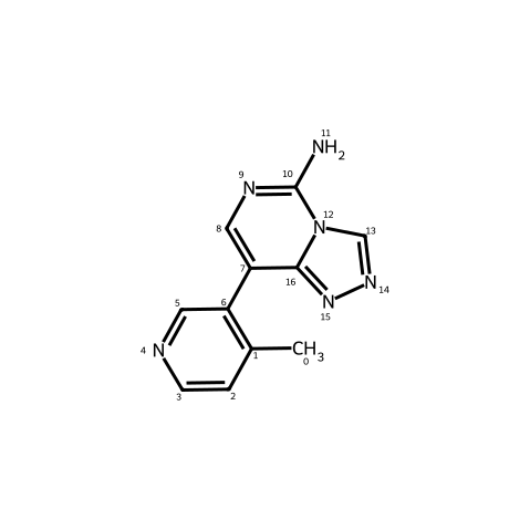 Cc1ccncc1-c1cnc(N)n2cnnc12